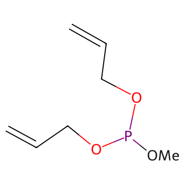 C=CCOP(OC)OCC=C